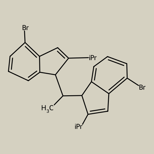 CC(C)C1=Cc2c(Br)cccc2C1C(C)C1C(C(C)C)=Cc2c(Br)cccc21